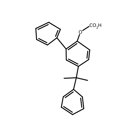 CC(C)(c1ccccc1)c1ccc(OC(=O)O)c(-c2ccccc2)c1